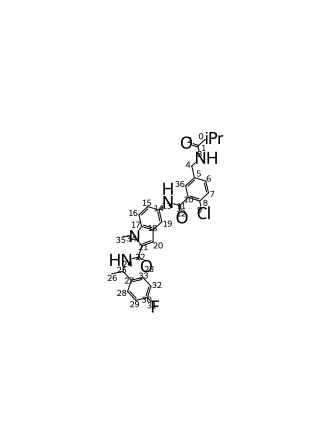 CC(C)C(=O)NCc1ccc(Cl)c(C(=O)Nc2ccc3c(c2)cc(C(=O)NC(C)c2ccc(F)cc2)n3C)c1